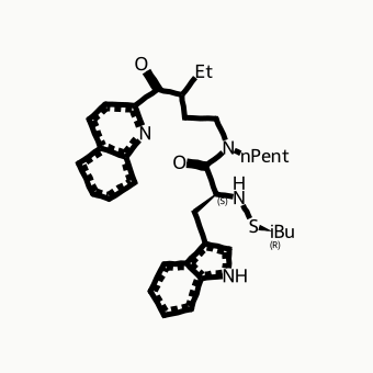 CCCCCN(CCC(CC)C(=O)c1ccc2ccccc2n1)C(=O)[C@H](Cc1c[nH]c2ccccc12)NS[C@H](C)CC